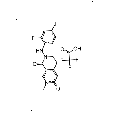 Cn1cc2c(cc1=O)CCN(Nc1ccc(I)cc1F)C2=O.O=C(O)C(F)(F)F